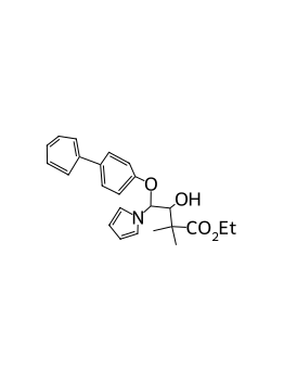 CCOC(=O)C(C)(C)C(O)C(Oc1ccc(-c2ccccc2)cc1)n1cccc1